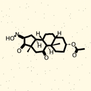 CC(=O)O[C@@H]1CC[C@@]2(C)[C@H](CC[C@@H]3[C@@H]2C(=O)C[C@]2(C)C(=O)/C(=N\O)C[C@@H]32)C1